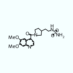 COc1cc2nccc(C(=O)N3CCC(CCNS(N)(=O)=O)CC3)c2cc1OC